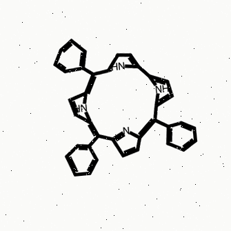 C1=C/C2=C(\c3ccccc3)c3ccc([nH]3)C3=CCC(N3)/C(c3ccccc3)=c3/cc/c([nH]3)=C(\c3ccccc3)C1=N2